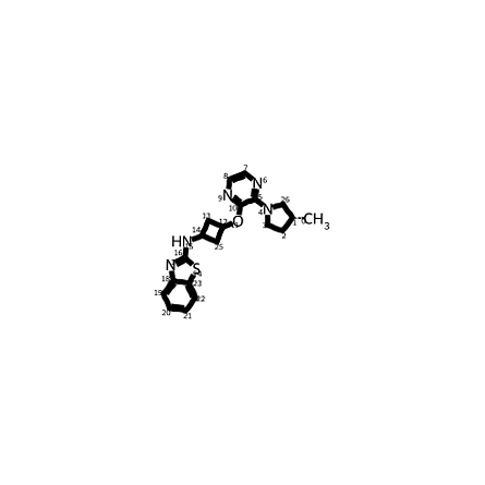 C[C@@H]1CCN(c2nccnc2OC2CC(Nc3nc4ccccc4s3)C2)C1